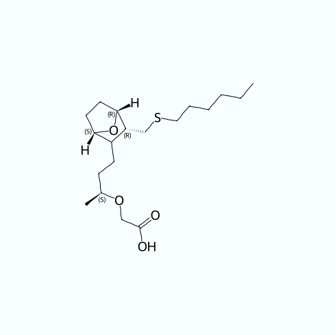 CCCCCCSC[C@@H]1C(CC[C@H](C)OCC(=O)O)[C@@H]2CC[C@H]1O2